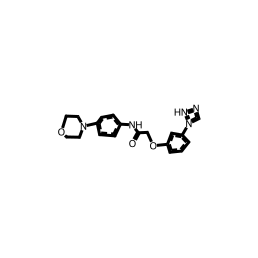 O=C(COc1cccc(-n2cn[nH]2)c1)Nc1ccc(N2CCOCC2)cc1